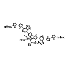 CCCCCCc1ccc(-c2ccc(-c3ncc(-c4cc5c(s4)-c4sc(-c6cnc(-c7ccc(-c8ccc(CCCCCC)s8)s7)c7nsnc67)c(C(C)C(C)CCCC)c4[SiH]5CC(CC)CCCC)c4nsnc34)s2)s1